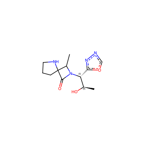 CC1N([C@H](c2nnco2)[C@@H](C)O)C(=O)C12CCCN2